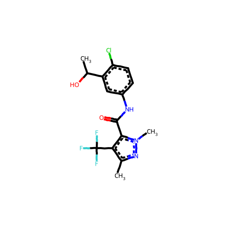 Cc1nn(C)c(C(=O)Nc2ccc(Cl)c(C(C)O)c2)c1C(F)(F)F